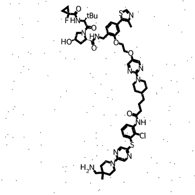 Cc1ncsc1-c1ccc(CNC(=O)[C@@H]2C[C@@H](O)CN2C(=O)[C@@H](NC(=O)C2(F)CC2)C(C)(C)C)c(OCCOc2cnc(N3CCC(CCCC(=O)Nc4cccc(Sc5cnc(N6CCC(C)(CN)CC6)cn5)c4Cl)CC3)nc2)c1